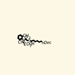 CCCCCCCCCCCCCCCC(=O)SCC(=O)N(CC(=O)O)c1c(C)cccc1C